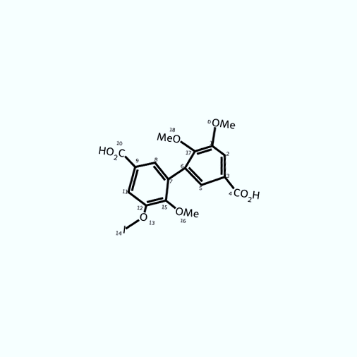 COc1cc(C(=O)O)cc(-c2cc(C(=O)O)cc(OI)c2OC)c1OC